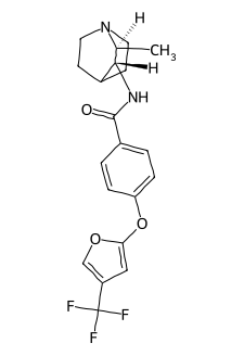 C[C@H]1[C@H](NC(=O)c2ccc(Oc3cc(C(F)(F)F)co3)cc2)C2CCN1CC2